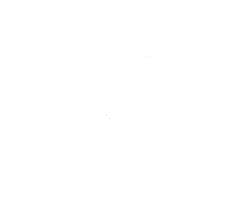 O=C(O)CC1CC(c2ccc(C(F)(F)F)cc2)CN(Cc2ccccc2)C1